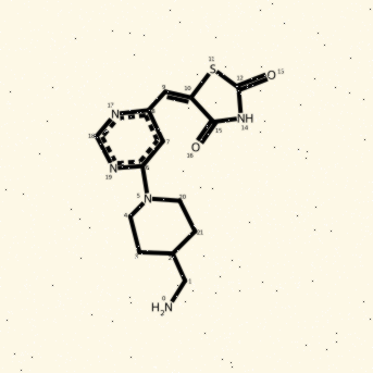 NCC1CCN(c2cc(C=C3SC(=O)NC3=O)ncn2)CC1